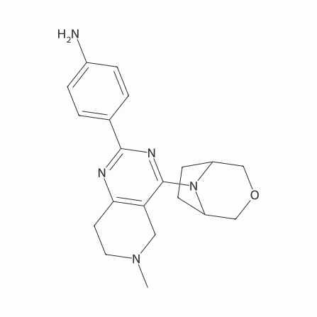 CN1CCc2nc(-c3ccc(N)cc3)nc(N3C4CCC3COC4)c2C1